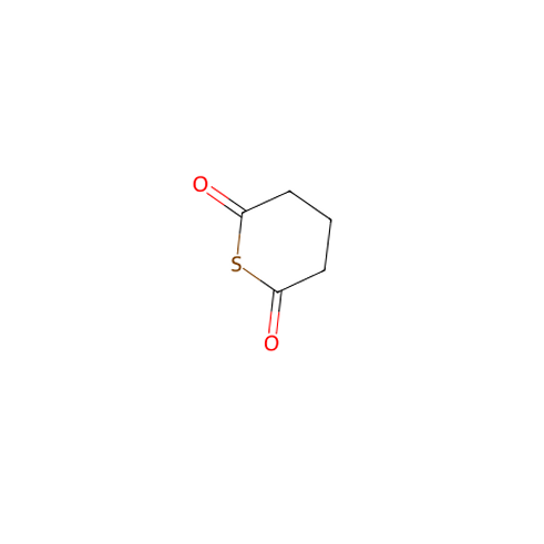 O=C1CCCC(=O)S1